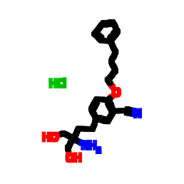 Cl.N#Cc1cc(CCC(N)(CO)CO)ccc1OCCCCc1ccccc1